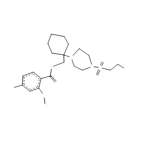 CCCS(=O)(=O)N1CCN(C2(CNC(=O)c3ccc(F)cc3OC)CCCCC2)CC1